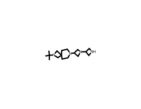 CC(C)(C)N1CC2(CCN(C3CN(C4CNC4)C3)CC2)C1